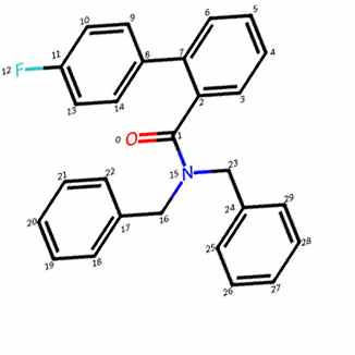 O=C(c1ccccc1-c1ccc(F)cc1)N(Cc1ccccc1)Cc1ccccc1